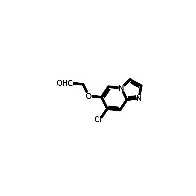 O=CCOc1cn2ccnc2cc1Cl